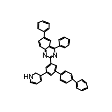 C1=CNCC(c2cc(-c3ccc(-c4ccccc4)cc3)cc(-c3nc(-c4ccccc4)c4cc(-c5ccccc5)ccc4n3)c2)=C1